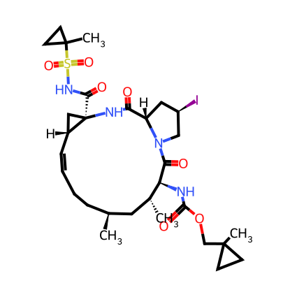 C[C@H]1CC/C=C\[C@@H]2C[C@@]2(C(=O)NS(=O)(=O)C2(C)CC2)NC(=O)[C@@H]2C[C@@H](I)CN2C(=O)[C@@H](NC(=O)OCC2(C)CC2)[C@H](C)C1